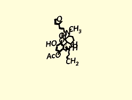 C=CCN1CC[C@]23c4c5c(OC(C)=O)cc(O)c4O[C@H]2[C@@H](N(C)C(=O)/C=C/c2ccoc2)CC[C@H]3[C@H]1C5